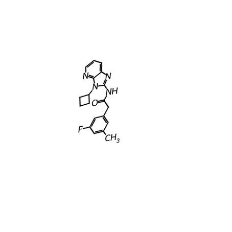 Cc1cc(F)cc(CC(=O)Nc2nc3cccnc3n2C2CCC2)c1